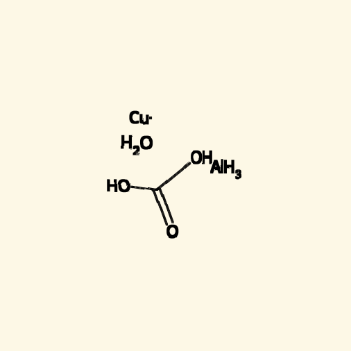 O.O=C(O)O.[AlH3].[Cu]